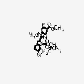 COC(=O)c1cc2nc(-c3cc4ccc(Br)cc4n3C(=O)OC(C)(C)C)n(C)c2cc1F